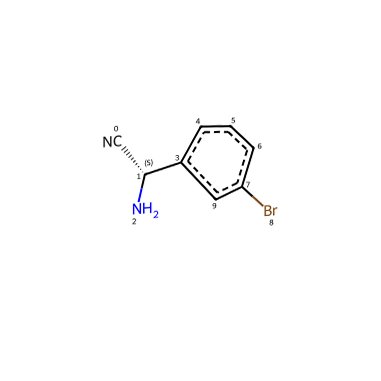 N#C[C@@H](N)c1cccc(Br)c1